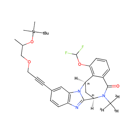 [2H]C([2H])([2H])N1C(=O)c2cccc(OC(F)F)c2[C@H]2C[C@@H]1c1nc3ccc(C#CCOCC(C)O[Si](C)(C)C(C)(C)C)cc3n12